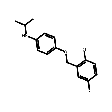 CC(C)Nc1ccc(OCc2cc(F)ccc2Cl)cc1